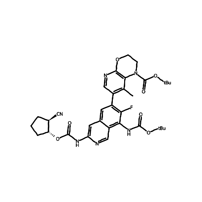 Cc1c(-c2cc3cc(NC(=O)O[C@@H]4CCC[C@H]4C#N)ncc3c(NC(=O)OC(C)(C)C)c2F)cnc2c1N(C(=O)OC(C)(C)C)CCO2